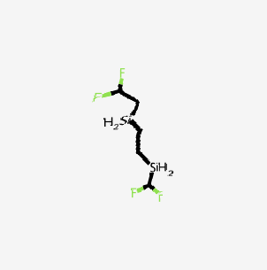 FC(F)C[SiH2]CC[SiH2]C(F)F